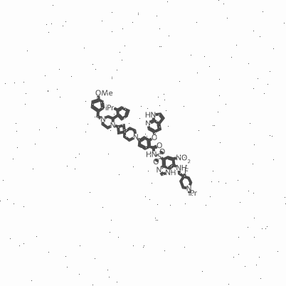 COc1ccc(CN2CCN(C3CC4(CCN(c5ccc(C(=O)NS(=O)(=O)c6cc([N+](=O)[O-])c(NCC7(F)CCN(C(C)C)CC7)c7[nH]cnc67)c(Oc6cnc7[nH]ccc7c6)c5)CC4)C3)C(c3ccccc3C(C)C)C2)cc1